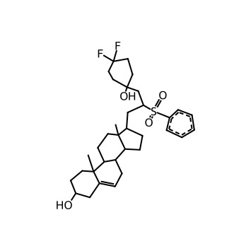 CC12CCC(O)CC1=CCC1C2CCC2(C)C(CC(CC3(O)CCC(F)(F)CC3)S(=O)(=O)c3ccccc3)CCC12